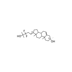 CC12CC[C@](C)(O)CC1=CCC1C2CCC2(C)C1CC[C@@H]2CCC(F)(F)C(C)(C)O